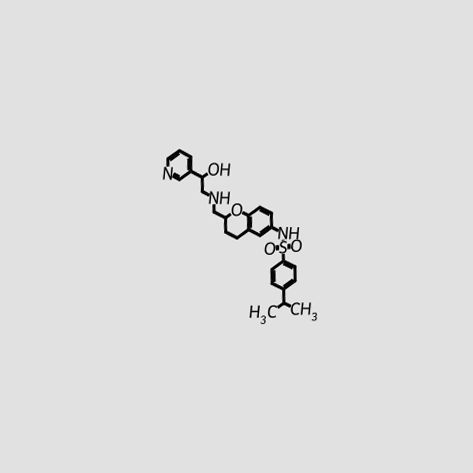 CC(C)c1ccc(S(=O)(=O)Nc2ccc3c(c2)CCC(CNCC(O)c2cccnc2)O3)cc1